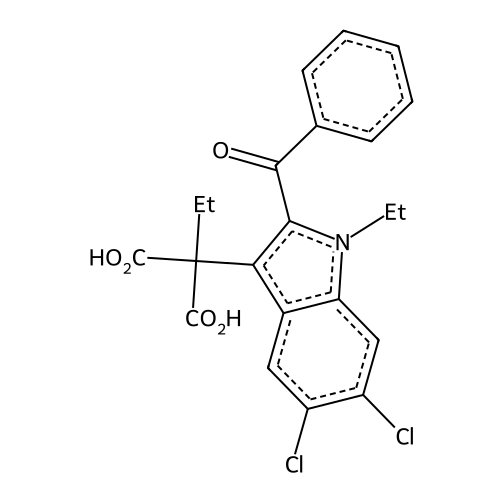 CCn1c(C(=O)c2ccccc2)c(C(CC)(C(=O)O)C(=O)O)c2cc(Cl)c(Cl)cc21